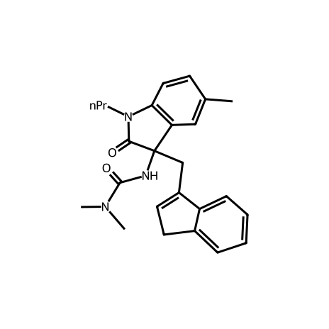 CCCN1C(=O)C(CC2=CCc3ccccc32)(NC(=O)N(C)C)c2cc(C)ccc21